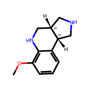 COc1cccc2c1NC[C@@H]1CNC[C@H]21